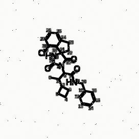 CC(C1CCC1)C(C(=O)NCc1ccccc1)N1C(=O)NC2(CCc3cccc(Cl)c32)C1=O